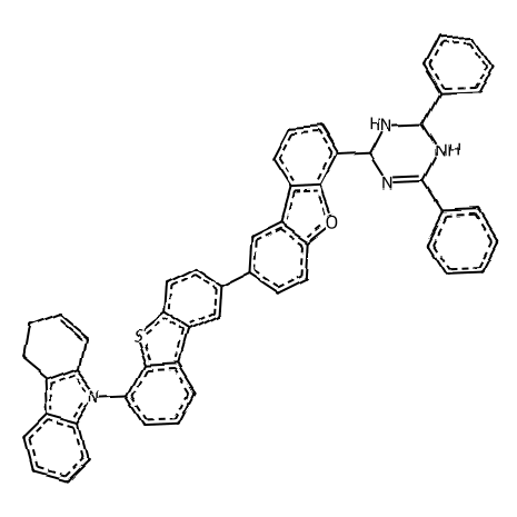 C1=Cc2c(c3ccccc3n2-c2cccc3c2sc2ccc(-c4ccc5oc6c(C7N=C(c8ccccc8)NC(c8ccccc8)N7)cccc6c5c4)cc23)CC1